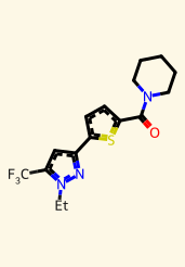 CCn1nc(-c2ccc(C(=O)N3CCCCC3)s2)cc1C(F)(F)F